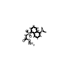 CN(C)c1cccc2c(S(=O)(=O)CC(=O)ON)cccc12